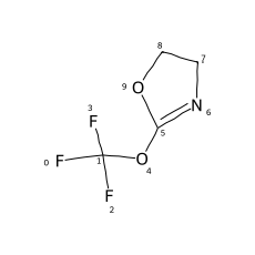 FC(F)(F)OC1=N[CH]CO1